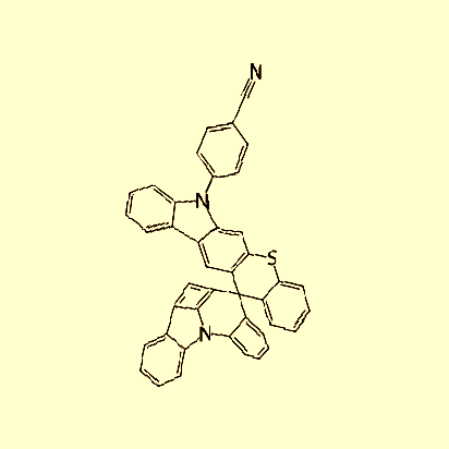 N#Cc1ccc(-n2c3ccccc3c3cc4c(cc32)Sc2ccccc2C42c3ccccc3-n3c4ccccc4c4cccc2c43)cc1